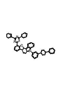 C1=CC2c3cccc(-c4nc(-c5ccccc5)nc(-c5ccccc5)n4)c3OC2c2c1n(-c1cccc(-c3ccc(-c4ccccc4)cc3)c1)c1ccccc21